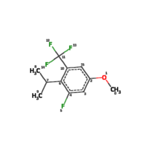 COc1cc(F)c(C(C)C)c(C(F)(F)F)c1